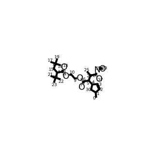 CC1C=CC(C(C(=O)OCCOC(=O)C(CC(C)(C)C)C(C)(C)C)C(C)C(=O)N=O)C1